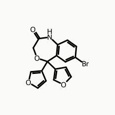 O=C1COC(c2ccoc2)(c2ccoc2)c2cc(Br)ccc2N1